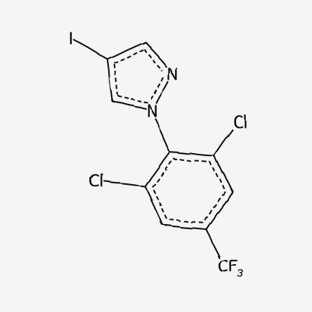 FC(F)(F)c1cc(Cl)c(-n2cc(I)cn2)c(Cl)c1